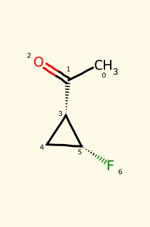 CC(=O)[C@H]1C[C@H]1F